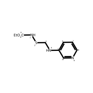 CCOC(=O)NSCNc1cccnc1